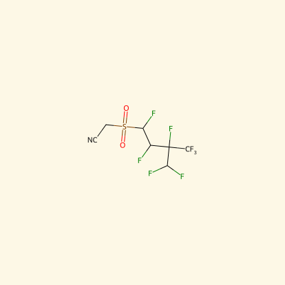 N#CCS(=O)(=O)C(F)C(F)C(F)(C(F)F)C(F)(F)F